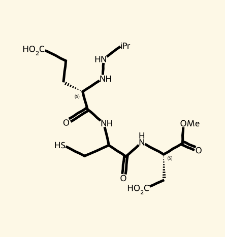 COC(=O)[C@H](CC(=O)O)NC(=O)C(CS)NC(=O)[C@H](CCC(=O)O)NNC(C)C